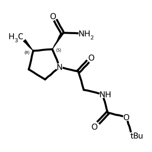 C[C@@H]1CCN(C(=O)CNC(=O)OC(C)(C)C)[C@@H]1C(N)=O